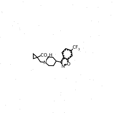 O=C(O)C1(CN2CCC(c3noc4cc(C(F)(F)F)ccc34)CC2)CC1